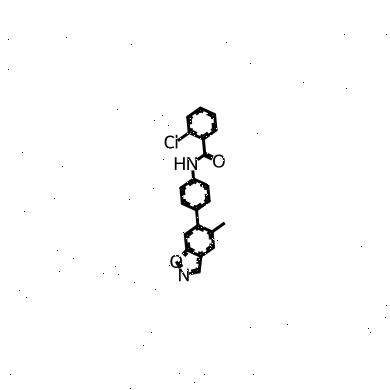 Cc1cc2cnoc2cc1-c1ccc(NC(=O)c2ccccc2Cl)cc1